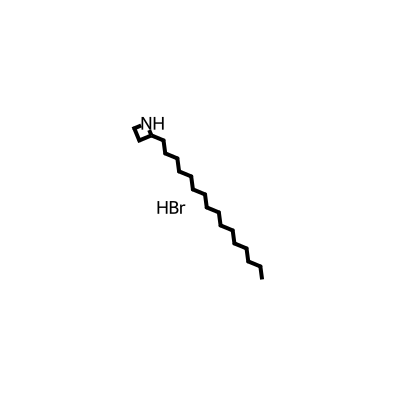 Br.CCCCCCCCCCCCCCCCC1CCN1